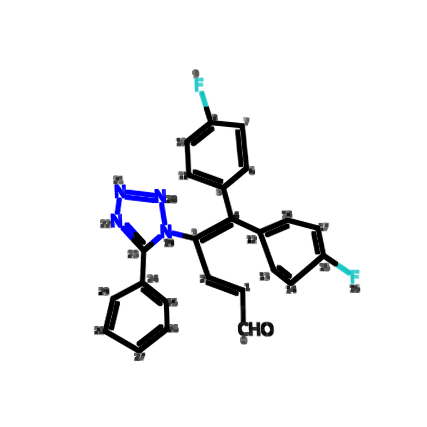 O=CC=CC(=C(c1ccc(F)cc1)c1ccc(F)cc1)n1nnnc1-c1ccccc1